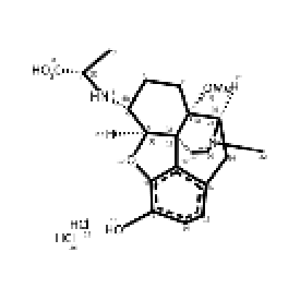 CO[C@@]12CC[C@@H](N[C@@H](C)C(=O)O)[C@@H]3Oc4c(O)ccc5c4[C@@]31CCN(C)[C@@H]2C5.Cl.Cl